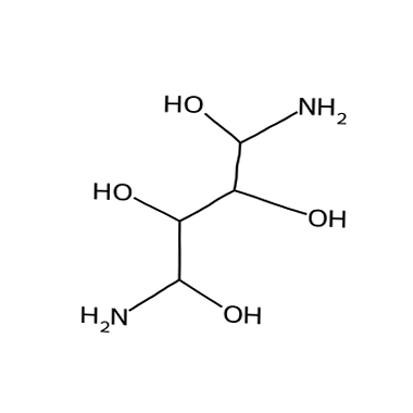 NC(O)C(O)C(O)C(N)O